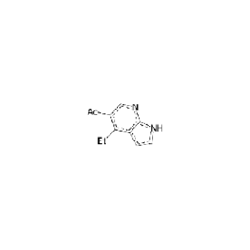 CCc1c(C(C)=O)cnc2[nH]ccc12